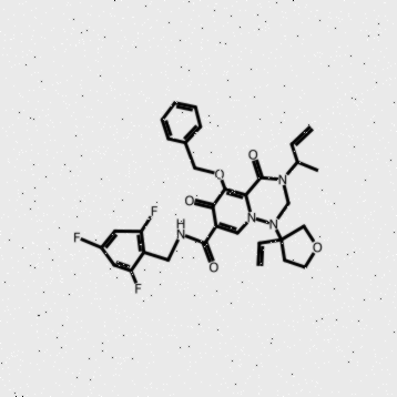 C=CC(C)N1CN(C2(C=C)CCOC2)n2cc(C(=O)NCc3c(F)cc(F)cc3F)c(=O)c(OCc3ccccc3)c2C1=O